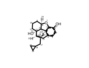 Oc1ccc2c3c1O[C@@H]1CCC[C@]4(O)[C@H](C2)N(CC2CC2)CC[C@@]314